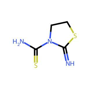 N=C1SCCN1C(N)=S